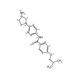 CC(C)COc1ccc(C(=O)Nc2ccc(N3CCC(N)C3)nc2)cc1